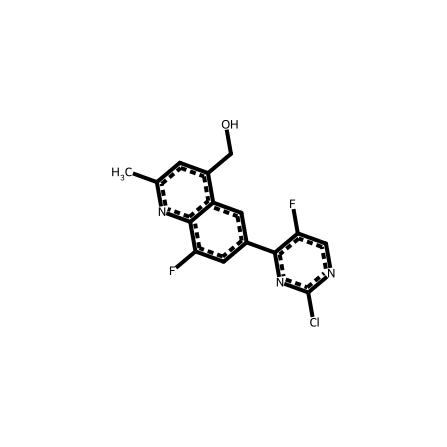 Cc1cc(CO)c2cc(-c3nc(Cl)ncc3F)cc(F)c2n1